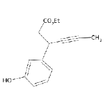 CC#CC(CC(=O)OCC)c1cccc(O)c1